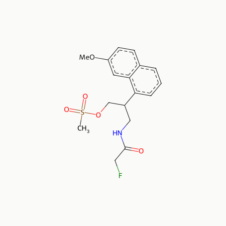 COc1ccc2cccc(C(CNC(=O)CF)COS(C)(=O)=O)c2c1